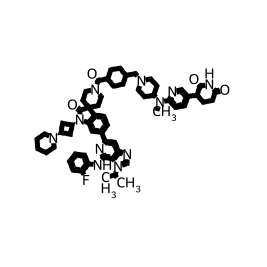 CC(C)n1cnc2cc(-c3ccc4c(c3)N([C@H]3C[C@@H](N5CCCCC5)C3)C(=O)C43CCN(C(=O)C4CCC(CN5CCC(N(C)c6ccc(C7CCC(=O)NC7=O)cn6)CC5)CC4)CC3)nc(Nc3ccccc3F)c21